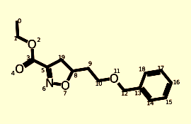 CCOC(=O)C1=NOC(CCOCc2ccccc2)C1